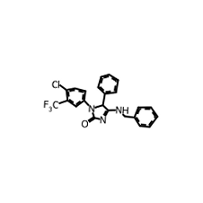 O=C1N=C(NCc2ccccc2)C(c2ccccc2)N1c1ccc(Cl)c(C(F)(F)F)c1